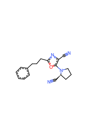 N#Cc1nc(CCCc2ccccc2)oc1N1CCC[C@H]1C#N